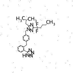 CCCCC(F)(F)c1nc(CC(C)C)n(Cc2ccc(Cc3ccccc3-c3nnn[nH]3)cc2)n1